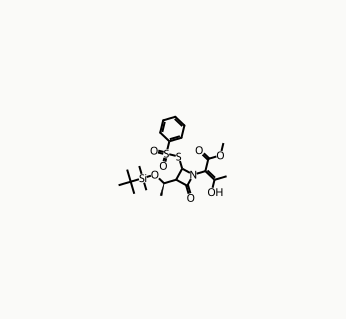 COC(=O)C(=C(C)O)N1C(=O)C([C@@H](C)O[Si](C)(C)C(C)(C)C)C1SS(=O)(=O)c1ccccc1